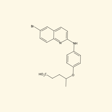 CC(CCC(=O)O)Oc1ccc(Nc2ccc3cc(Br)ccc3n2)cc1